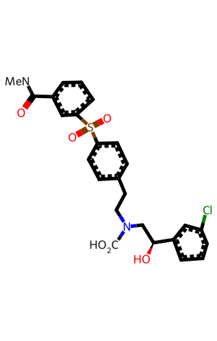 CNC(=O)c1cccc(S(=O)(=O)c2ccc(CCN(C[C@H](O)c3cccc(Cl)c3)C(=O)O)cc2)c1